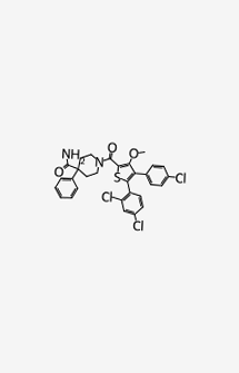 COc1c(C(=O)N2CCC(C(N)=O)(c3ccccc3)CC2)sc(-c2ccc(Cl)cc2Cl)c1-c1ccc(Cl)cc1